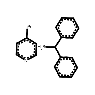 BC(c1ccccc1)c1ccccc1.CC(C)c1ccncc1